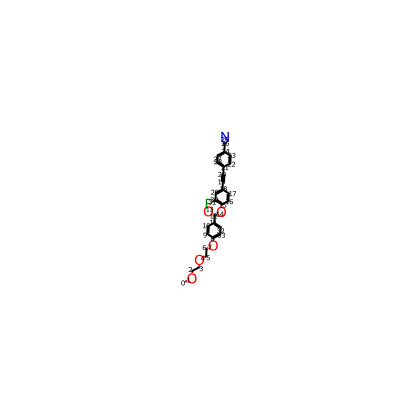 COCCOCCOc1ccc(C(=O)Oc2ccc(C#Cc3ccc(C#N)cc3)cc2F)cc1